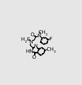 Cc1ccc2c(=O)[nH]c(CN(C)CC(=O)N(C)c3cccc(F)c3)nc2c1